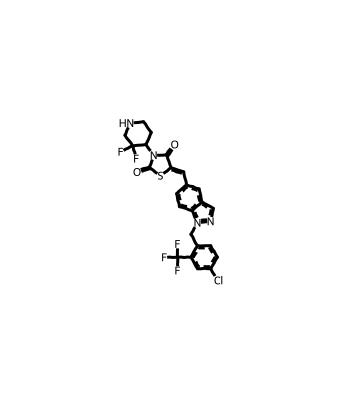 O=C1S/C(=C\c2ccc3c(cnn3Cc3ccc(Cl)cc3C(F)(F)F)c2)C(=O)N1C1CCNCC1(F)F